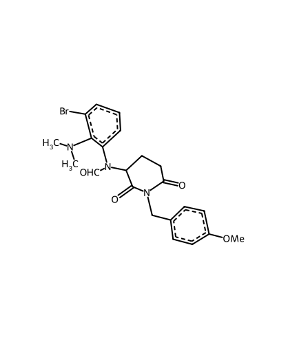 COc1ccc(CN2C(=O)CCC(N(C=O)c3cccc(Br)c3N(C)C)C2=O)cc1